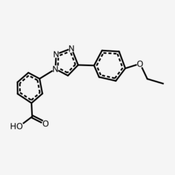 CCOc1ccc(-c2cn(-c3cccc(C(=O)O)c3)nn2)cc1